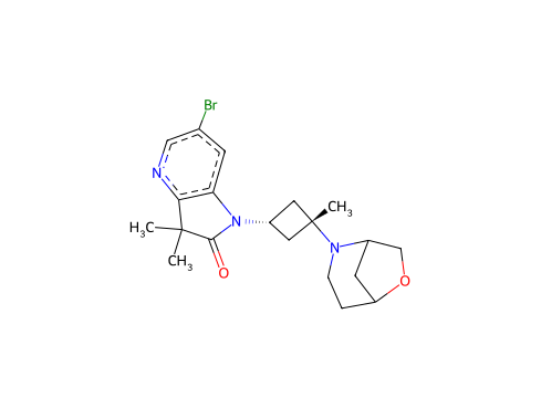 CC1(C)C(=O)N([C@H]2C[C@@](C)(N3CCC4CC3CO4)C2)c2cc(Br)cnc21